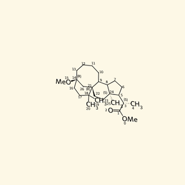 COC(=O)[C@@H](C)C1CCC2C3CCCC[C@@]4(OC)CCC(C)(C)[C@]3(CC[C@@]21C)C4